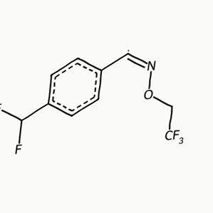 FC(F)c1ccc(/[C]=N\OCC(F)(F)F)cc1